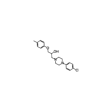 Cc1ccc(OCC(O)CN2CCN(c3ccc(Cl)cc3)CC2)cc1